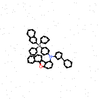 c1ccc(-c2cccc(N(c3ccc([Si](c4ccccc4)(c4ccccc4)c4ccc5ccccc5c4)cc3)c3cccc4oc5c6ccccc6ccc5c34)c2)cc1